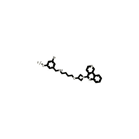 FC(F)(F)Oc1cc(Br)cc(CNCCCCOC2CN(c3nc4ccccc4c4cnccc34)C2)c1